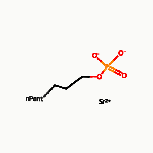 CCCCCCCCOP(=O)([O-])[O-].[Sr+2]